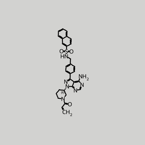 C=CC(=O)N1CCC[C@@H](n2nc(-c3ccc(CNS(=O)(=O)c4ccc5ccccc5c4)cc3)c3c(N)ncnc32)C1